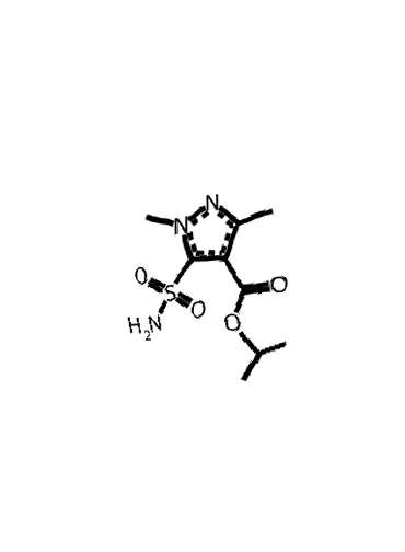 Cc1nn(C)c(S(N)(=O)=O)c1C(=O)OC(C)C